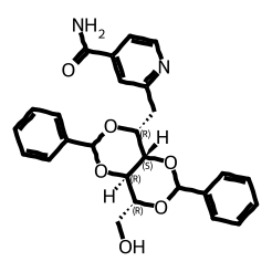 NC(=O)c1ccnc(C[C@H]2OC(c3ccccc3)O[C@H]3[C@H]2OC(c2ccccc2)O[C@@H]3CO)c1